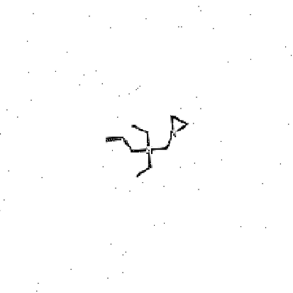 C=CC[Si](CC)(CC)CN1CC1